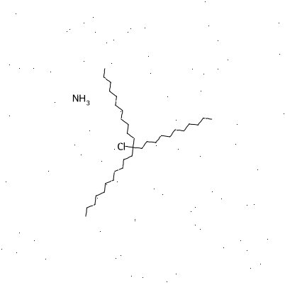 CCCCCCCCCCCC(Cl)(CCCCCCCCCCC)CCCCCCCCCCC.N